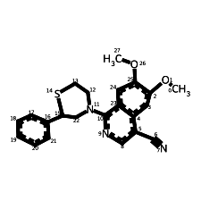 COc1cc2c(C#N)cnc(N3CCSC(c4ccccc4)C3)c2cc1OC